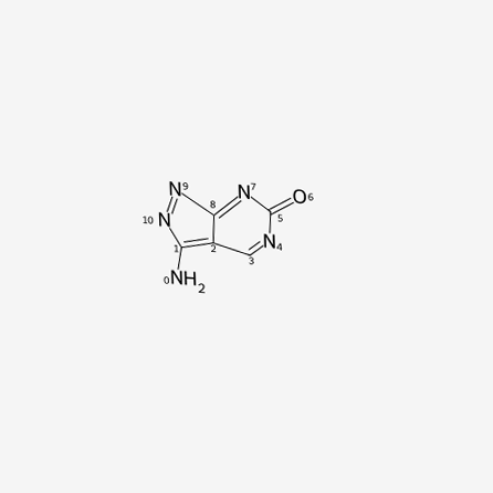 NC1=C2C=NC(=O)N=C2N=N1